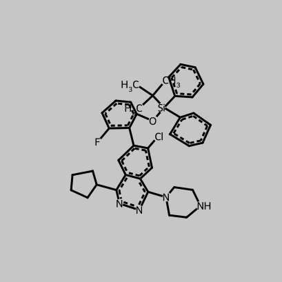 CC(C)(C)[Si](Oc1cccc(F)c1-c1cc2c(C3CCCC3)nnc(N3CCNCC3)c2cc1Cl)(c1ccccc1)c1ccccc1